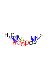 Cc1ncnc2c1ccn2C1SC(COc2ccc3ccc(NCC4CC4)nc3c2)C(O)C1O